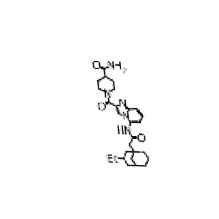 CCC1CC2CCCC(CC(=O)Nc3cccc4nc(C(=O)N5CCC(C(N)=O)CC5)cn34)(C1)C2